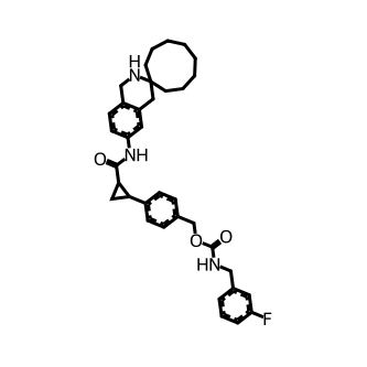 O=C(NCc1cccc(F)c1)OCc1ccc(C2CC2C(=O)Nc2ccc3c(c2)CC2(CCCCCCCC2)NC3)cc1